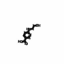 O=C(O)c1ccc(NCCO)nc1